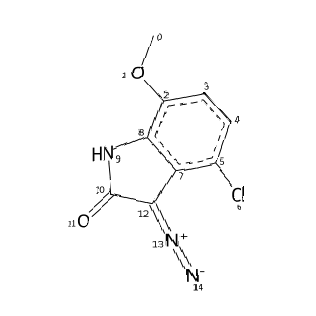 COc1ccc(Cl)c2c1NC(=O)C2=[N+]=[N-]